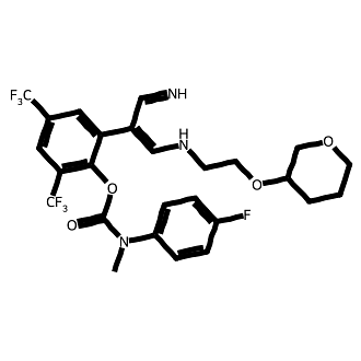 CN(C(=O)Oc1c(/C(C=N)=C/NCCOC2CCCOC2)cc(C(F)(F)F)cc1C(F)(F)F)c1ccc(F)cc1